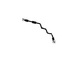 N#CC#CCCCCCC#N